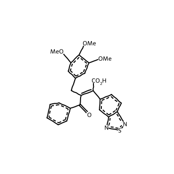 COc1cc(CC(C(=O)c2ccccc2)=C(C(=O)O)c2ccc3nsnc3c2)cc(OC)c1OC